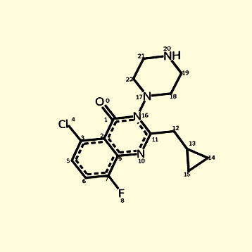 O=c1c2c(Cl)ccc(F)c2nc(CC2CC2)n1N1CCNCC1